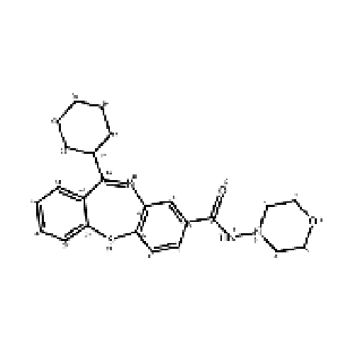 O=C(NN1CCOCC1)c1ccc2c(c1)N=C(C1CCCCC1)c1ccccc1S2